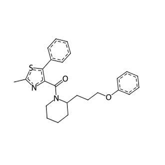 Cc1nc(C(=O)N2CCCCC2CCCOc2ccccc2)c(-c2ccccc2)s1